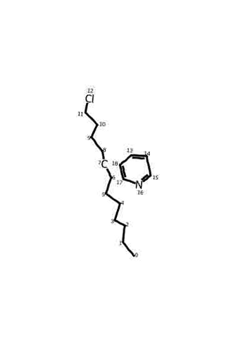 CCCCCCCCCCCCCl.c1ccncc1